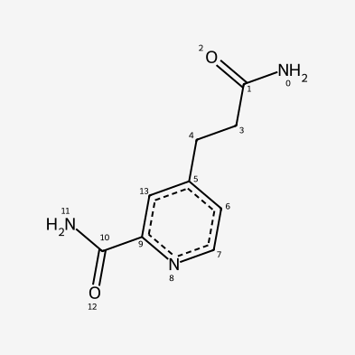 NC(=O)CCc1ccnc(C(N)=O)c1